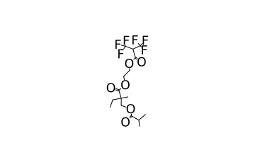 CCC(C)(COC(=O)C(C)C)C(=O)OCCOC(=O)C(C(F)(F)F)C(F)(F)F